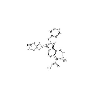 COC(=O)N1c2ccc3c(nc(Cc4ccccc4)n3C3CC4(CCNC4)C3)c2CC[C@@H]1C